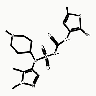 Cc1cc(NC(=O)NS(=O)(=O)N(c2cnn(C)c2F)C2CCN(C)CC2)c(C(C)C)s1